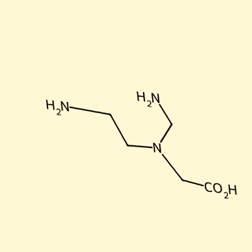 NCCN(CN)CC(=O)O